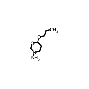 CCCO[C@H]1CCN(N)CO1